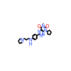 Cn1c(=O)c2nc(-c3ccc(NCCCN4CCCC4)cc3)nnc2n(C2CCCC2)c1=O